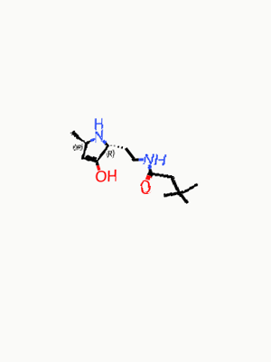 C[C@@H]1C=C(O)[C@@H](CCNC(=O)CC(C)(C)C)N1